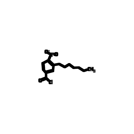 CCCCCCCc1cc(C(=O)Cl)ccc1[N+](=O)[O-]